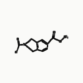 COC(=O)c1ccc2c(c1)CN(C(=O)Cl)C2